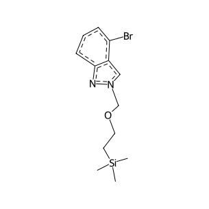 C[Si](C)(C)CCOCn1cc2c(Br)cccc2n1